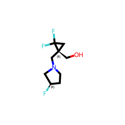 OC[C@]1(CN2CC[C@@H](F)C2)CC1(F)F